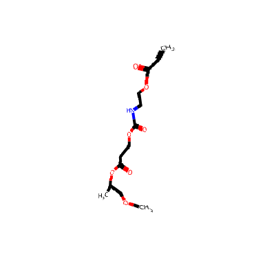 C=CC(=O)OCCNC(=O)OCCC(=O)OC(C)COC